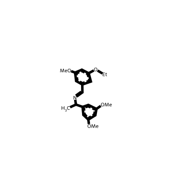 CCOc1cc(C=NC(C)c2cc(OC)cc(OC)c2)cc(OC)c1